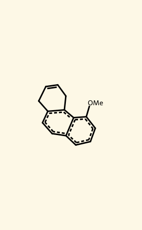 COc1cccc2ccc3c(c12)CC=CC3